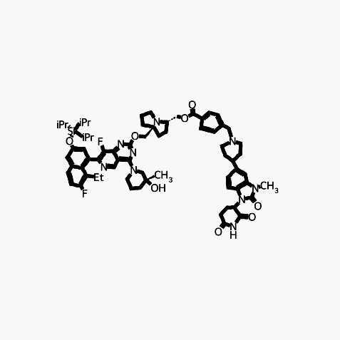 CCc1c(F)ccc2cc(O[Si](C(C)C)(C(C)C)C(C)C)cc(-c3ncc4c(N5CCC[C@@](C)(O)C5)nc(OC[C@@]56CCCN5[C@H](COC(=O)c5ccc(CN7CCC(c8ccc9c(c8)n(C)c(=O)n9C8CCC(=O)NC8=O)CC7)cc5)CC6)nc4c3F)c12